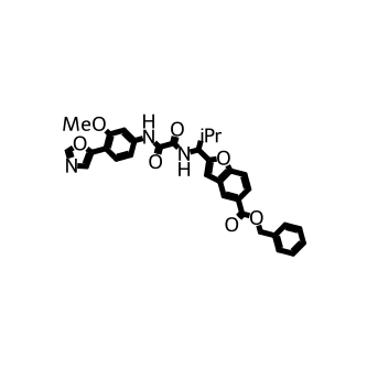 COc1cc(NC(=O)C(=O)NC(c2cc3cc(C(=O)OCc4ccccc4)ccc3o2)C(C)C)ccc1-c1cnco1